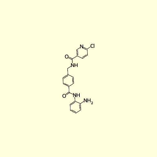 Nc1ccccc1NC(=O)c1ccc(CNC(=O)c2ccc(Cl)nc2)cc1